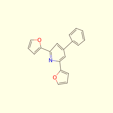 c1ccc(-c2cc(-c3ccco3)nc(-c3ccco3)c2)cc1